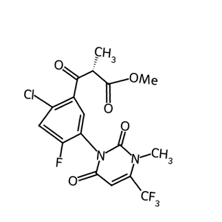 COC(=O)[C@@H](C)C(=O)c1cc(-n2c(=O)cc(C(F)(F)F)n(C)c2=O)c(F)cc1Cl